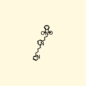 O=C1c2ccccc2C(=O)N1CCCc1cccc(CCCCc2ccccn2)n1